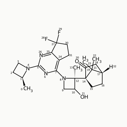 C[C@H]1CCN1c1nc(N2CC(O)[C@]2(C)[C@]23CC[C@@H](CC2=O)C3(C)C)c2c(n1)C(F)(F)CC2